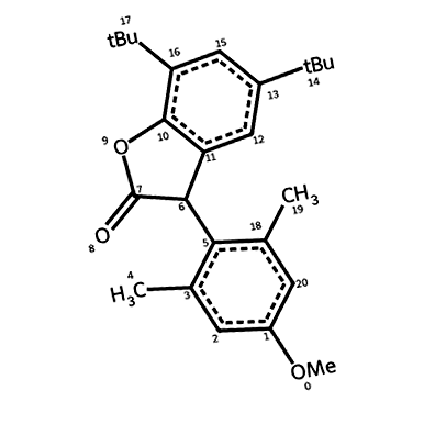 COc1cc(C)c(C2C(=O)Oc3c2cc(C(C)(C)C)cc3C(C)(C)C)c(C)c1